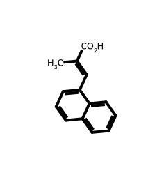 C/C(=C\c1cccc2ccccc12)C(=O)O